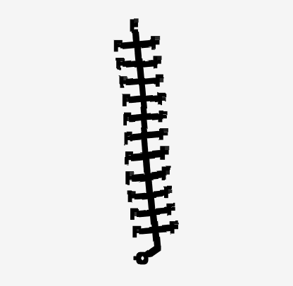 [O]CC(F)(F)C(F)(F)C(F)(F)C(F)(F)C(F)(F)C(F)(F)C(F)(F)C(F)(F)C(F)(F)C(F)(F)C(F)(F)F